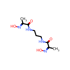 CC(=NO)C(=O)NCCCNC(=O)C(C)=NO